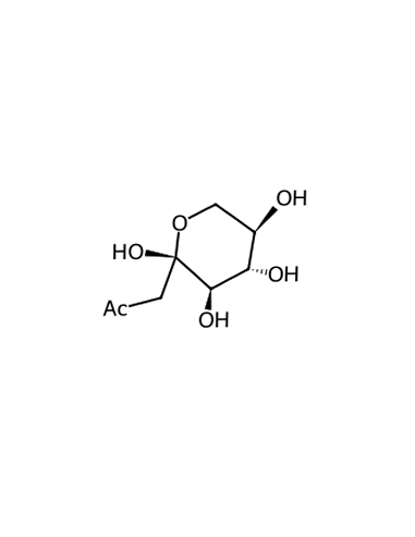 CC(=O)C[C@]1(O)OC[C@@H](O)[C@H](O)[C@H]1O